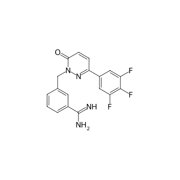 N=C(N)c1cccc(Cn2nc(-c3cc(F)c(F)c(F)c3)ccc2=O)c1